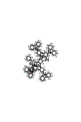 N#Cc1cc(-n2c3ccc(-n4c5ccccc5c5ccccc54)cc3c3cc(-n4c5ccccc5c5ccccc54)ccc32)c(-c2cc(-c3ccccc3)nc(-c3ccccc3)n2)cc1-n1c2ccc(-n3c4ccccc4c4ccccc43)cc2c2cc(-n3c4ccccc4c4ccccc43)ccc21